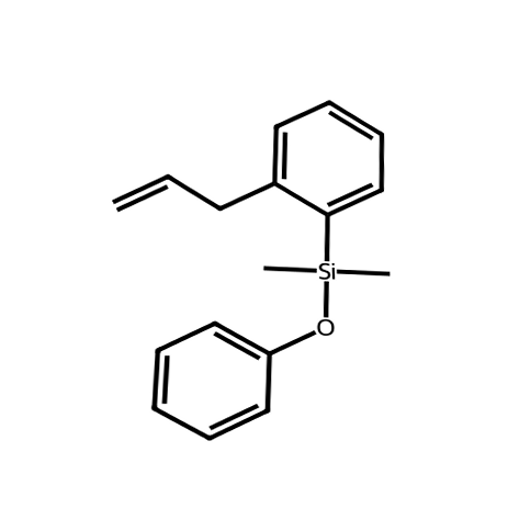 C=CCc1ccccc1[Si](C)(C)Oc1ccccc1